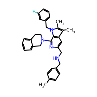 Cc1ccc(CNCc2cc3c(C)c(C)n(Cc4cccc(F)c4)c3c(N3CCc4ccccc4C3)n2)cc1